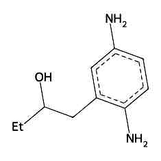 CCC(O)Cc1cc(N)ccc1N